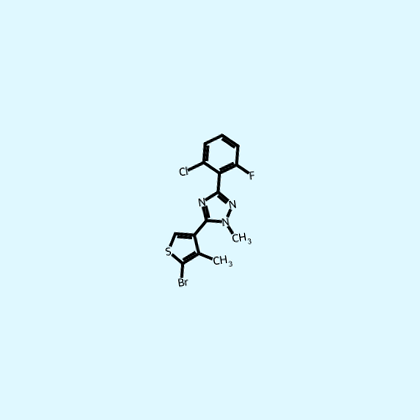 Cc1c(-c2nc(-c3c(F)cccc3Cl)nn2C)csc1Br